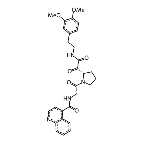 COc1ccc(CCNC(=O)C(=O)[C@@H]2CCCN2C(=O)CNC(=O)c2ccnc3ccccc23)cc1OC